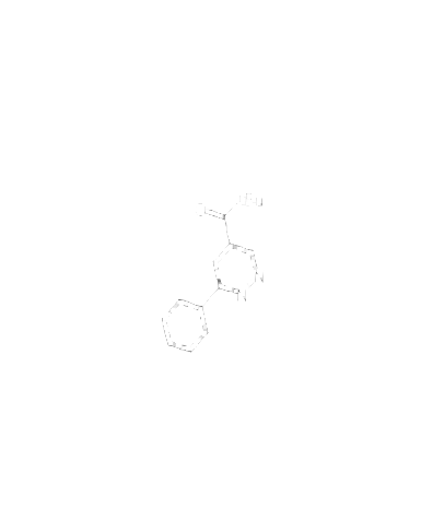 CC(C)(C)C(=O)c1cnnc(-c2ccccc2)c1